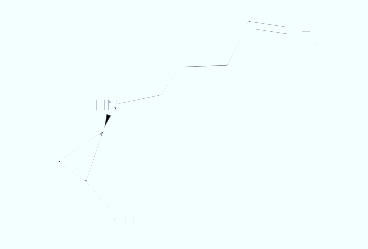 C=CCCCN[C@@H]1CC1C